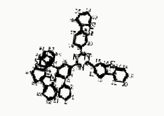 c1ccc(-c2cc(-c3nc(-c4ccc5c(c4)sc4ccccc45)nc(-c4ccc5c(c4)sc4ccccc45)n3)cc(-c3ccccc3)c2-n2c3ccccc3c3ccc4sc5ccccc5c4c32)cc1